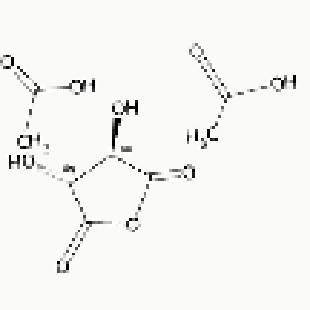 CC(=O)O.CC(=O)O.O=C1OC(=O)[C@H](O)[C@H]1O